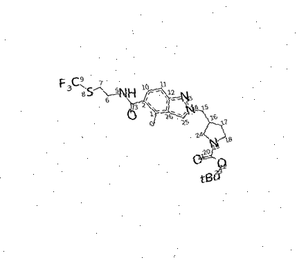 Cc1c(C(=O)NCCSC(F)(F)F)ccc2nn(CC3CCN(C(=O)OC(C)(C)C)C3)cc12